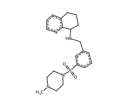 CN1CCN(S(=O)(=O)c2cccc(CNC3CCCc4cccnc43)c2)CC1